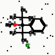 CC(C)(C)[Si]([O-])(c1ccccc1)C(C)(C)C.[Cl-].[Mg+2]